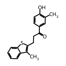 Cc1cc(C(=O)CCc2sc3ccccc3c2C)ccc1O